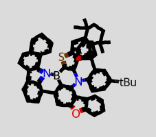 CC(C)(C)c1ccc(N2c3c(sc4cc5c(cc34)C(C)(C)CCC5(C)C)B3c4c(cc5oc6ccccc6c5c42)-c2cccc4c5ccc6ccccc6c5n3c24)c(-c2ccccc2)c1